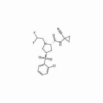 N#CC1(NC(=O)[C@@H]2C[C@@H](S(=O)(=O)c3ccccc3Cl)CN2CC(F)F)CC1